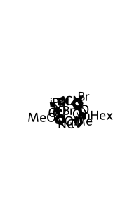 CCCCCCN([C@@H]1CCN(C#N)C1)S(=O)(=O)c1cc(Br)ccc1Br.COc1ccc(OC)c(S(=O)(=O)N(CC(C)C)[C@@H]2CCN(C#N)C2)c1